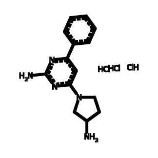 Cl.Cl.Cl.Nc1nc(-c2ccccc2)cc(N2CCC(N)C2)n1